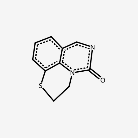 O=c1ncc2cccc3c2n1CCS3